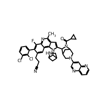 Cc1nc2c(F)c(-c3cccc(Cl)c3Cl)c(CCC#N)cc2c2c1cc(C1C3CC(CN(c4cnc5cccnc5c4)C3)N1C(=O)C1CC1)n2C1C2CNC1C2